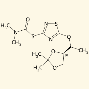 CC(Oc1nc(SC(=O)N(C)C)ns1)[C@H]1COC(C)(C)O1